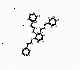 C(=Cc1ccccc1)Cc1cccc(CC=Cc2ccccc2)c1CC=Cc1ccccc1